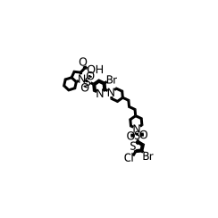 O=C(O)C1CC2CCCCC2N1S(=O)(=O)c1cnc(N2CCC(CCCC3CCN(S(=O)(=O)c4cc(Br)c(Cl)s4)CC3)CC2)c(Br)c1